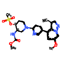 CCOc1cc(-c2ccc(N3CC[C@@H](OS(C)(=O)=O)[C@H](NC(=O)OC(C)(C)C)C3)nc2)c2c(C#N)cnn2c1